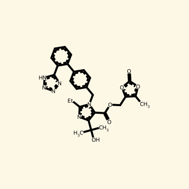 CCc1nc(C(C)(C)O)c(C(=O)OCc2oc(=O)oc2C)n1Cc1ccc(-c2ccccc2-c2nnn[nH]2)cc1